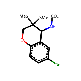 CSC1(SC)COc2ccc(Br)cc2C1NC(=O)O